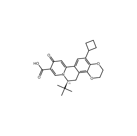 CC(C)(C)[C@@H]1Cc2c(cc(C3CCC3)c3c2OCCO3)-c2cc(=O)c(C(=O)O)cn21